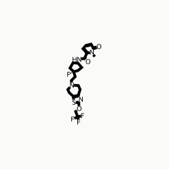 Cn1c(C(=O)N[C@H]2CC[C@](F)(CCN3CCc4nc(OCC(F)(F)F)sc4CC3)CC2)cccc1=O